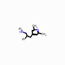 Cc1cc(CC(CNC(C)C)C(C)C)cc(C)n1